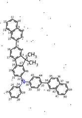 CC1(C)c2cc(-c3ccc4ccccc4c3)ccc2-c2ccc(N(c3ccccc3)c3ccc(-c4ccc5ccccc5c4)cc3)cc21